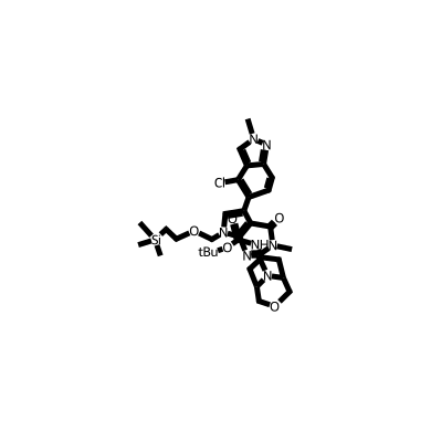 Cn1cc2c(Cl)c(-c3cn(COCC[Si](C)(C)C)c4nc(N5C6COCC5CC(NC(=O)OC(C)(C)C)C6)n(C)c(=O)c34)ccc2n1